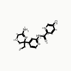 NC1=NC(CF)(c2ccnc(NC(=O)c3ccc(Cl)cn3)c2)COC1